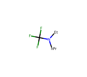 CCCN(CC)C(F)(F)F